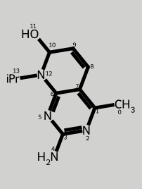 Cc1nc(N)nc2c1C=CC(O)N2C(C)C